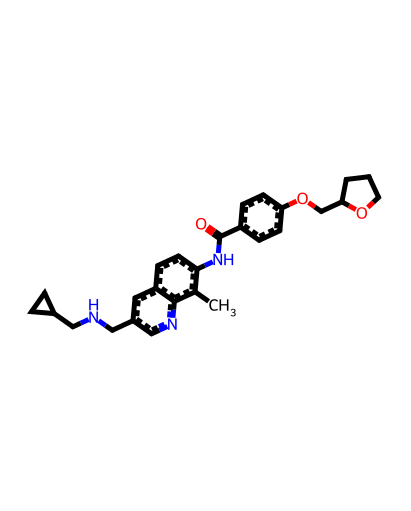 Cc1c(NC(=O)c2ccc(OCC3CCCO3)cc2)ccc2cc(CNCC3CC3)cnc12